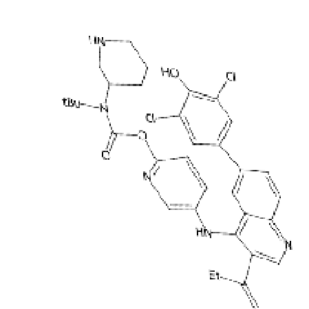 CCC(=O)c1cnc2ccc(-c3cc(Cl)c(O)c(Cl)c3)cc2c1Nc1ccc(OC(=O)N(C2CCCNC2)C(C)(C)C)nc1